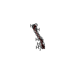 C[C@H]1CCCN1Cc1nc2cc(NC(=O)c3ccc4c(cnn4CCNC(=O)CCOCCOCCOCCOCCOCCNc4cccc5c4C(=O)N(C4CCC(=O)NC4=O)C5=O)c3)ccc2[nH]1